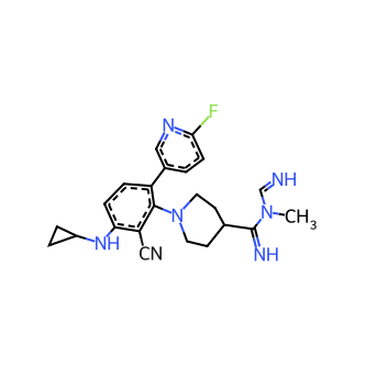 CN(C=N)C(=N)C1CCN(c2c(-c3ccc(F)nc3)ccc(NC3CC3)c2C#N)CC1